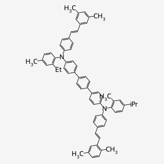 CCc1cc(C)ccc1N(c1ccc(/C=C/c2cc(C)cc(C)c2)cc1)c1ccc(-c2ccc(-c3ccc(N(c4ccc(/C=C/c5cc(C)ccc5C)cc4)c4ccc(C(C)C)cc4C)cc3)cc2)cc1